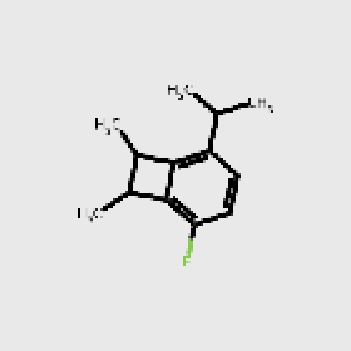 CC(C)c1ccc(F)c2c1C(C)C2C